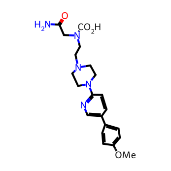 COc1ccc(-c2ccc(N3CCN(CCN(CC(N)=O)C(=O)O)CC3)nc2)cc1